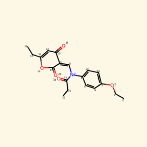 CCOc1ccc(N(C=C2C(=O)C=C(CC)OC2=O)C(=O)CC)cc1